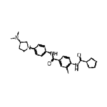 Cc1cc(C(=O)Nc2ccc(N3CCC(N(C)C)C3)cc2)ccc1NC(=O)C1CCCC1